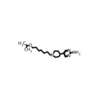 CC(C)OCCCCCCCN1CCC(c2cnc(N)nc2)CC1